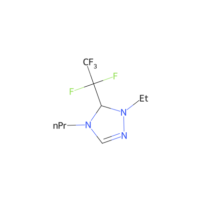 CCCN1C=NN(CC)C1C(F)(F)C(F)(F)F